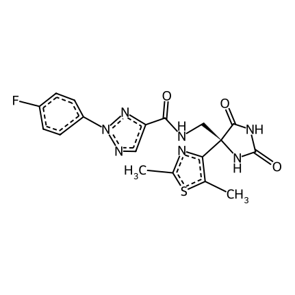 Cc1nc([C@@]2(CNC(=O)c3cnn(-c4ccc(F)cc4)n3)NC(=O)NC2=O)c(C)s1